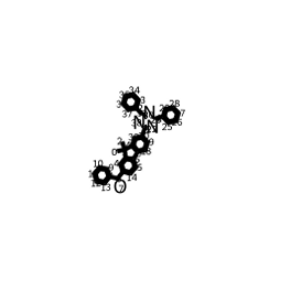 CC1(C)c2cc(C(=O)c3ccccc3)ccc2-c2ccc(-c3nc(-c4ccccc4)nc(-c4ccccc4)n3)cc21